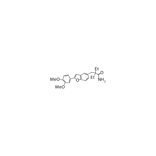 CCC(CC)(Cc1ccc2oc(-c3ccc(OC)c(OC)c3)cc2c1)C(N)=O